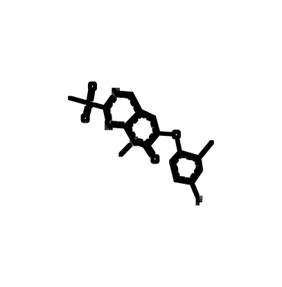 Cc1cc(F)ccc1Oc1cc2cnc(S(C)(=O)=O)nc2n(C)c1=O